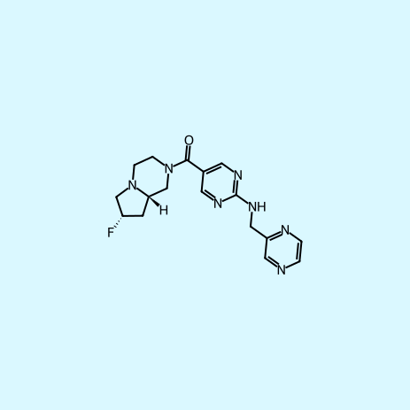 O=C(c1cnc(NCc2cnccn2)nc1)N1CCN2C[C@@H](F)C[C@H]2C1